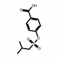 CC(C)CS(=O)(=O)Oc1ccc(C(=O)O)cc1